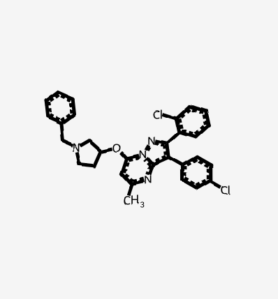 Cc1cc(OC2CCN(Cc3ccccc3)C2)n2nc(-c3ccccc3Cl)c(-c3ccc(Cl)cc3)c2n1